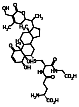 CC1=C(CO)C(=O)O[C@@H]([C@@H](C)[C@H]2CCC3C4C[C@H](SC[C@H](NC(=O)CC[C@@H](N)C(=O)O)C(=O)NCC(=O)O)[C@]5(O)[C@@H](O)C=CC(=O)[C@]5(C)C4CC[C@@]32C)C1